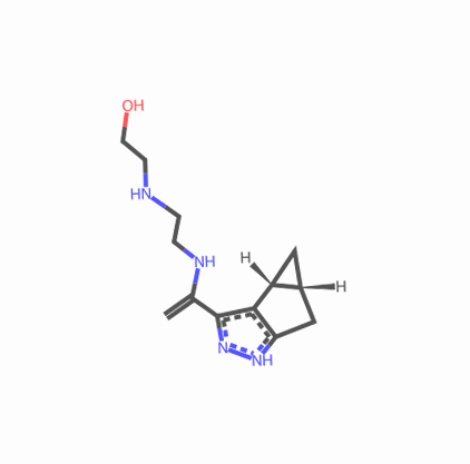 C=C(NCCNCCO)c1n[nH]c2c1[C@@H]1C[C@@H]1C2